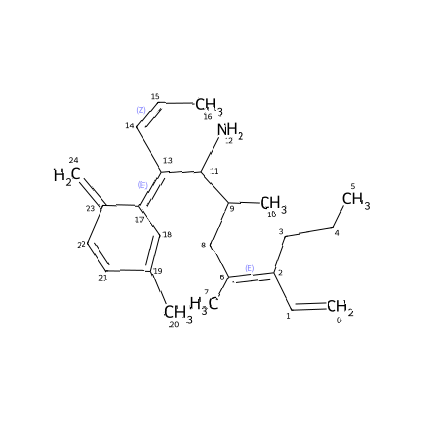 C=C/C(CCC)=C(\C)CC(C)C(N)C(/C=C\C)=c1\cc(C)ccc1=C